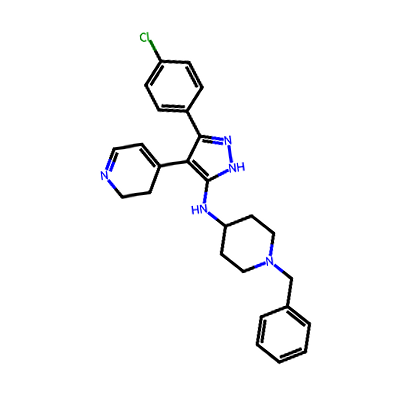 Clc1ccc(-c2n[nH]c(NC3CCN(Cc4ccccc4)CC3)c2C2=CC=NCC2)cc1